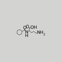 NCCCC(NC(=O)C1CCCCC1)C(=O)O